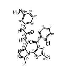 CCc1cc(C(=O)c2ccccc2Cl)c(-n2c(C)nnc2CNC(=O)Nc2cccc(N)c2)s1